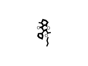 CCCCOC(C)c1oc2cccc(C)c2c(=O)c1-c1ccccc1